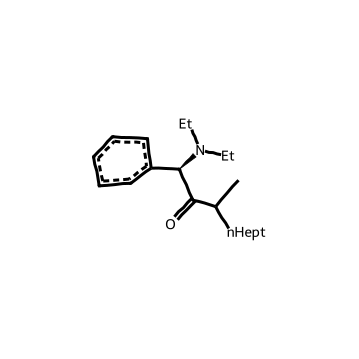 CCCCCCCC(C)C(=O)[C@@H](c1ccccc1)N(CC)CC